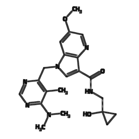 COc1cnc2c(C(=O)NCC3(O)CC3)cn(Cc3ncnc(N(C)C)c3C)c2c1